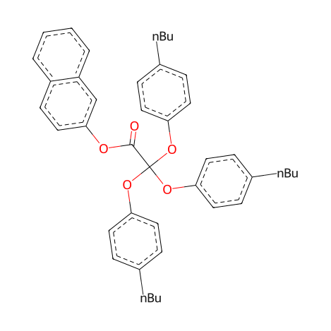 CCCCc1ccc(OC(Oc2ccc(CCCC)cc2)(Oc2ccc(CCCC)cc2)C(=O)Oc2ccc3ccccc3c2)cc1